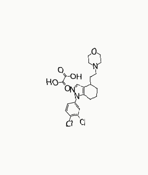 Clc1ccc(-n2ncc3c2CCCC3CCN2CCOCC2)cc1Cl.O=C(O)C(=O)O